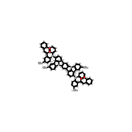 CC(C)(C)c1ccc(N(c2ccccc2)c2ccc3c4cc5c(cc4n4c6ccc(C(C)(C)C)cc6c2c34)c2ccc(N(c3ccccc3)c3ccc(C(C)(C)C)cc3-c3ccc4ccccc4c3)c3c4cc(C(C)(C)C)ccc4n5c23)c(-c2ccc3ccccc3c2)c1